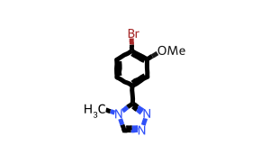 COc1cc(-c2nncn2C)ccc1Br